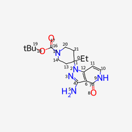 CCC1(n2nc(N)c3c(=O)[nH]ccc32)CCN(C(=O)OC(C)(C)C)CC1